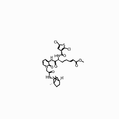 COC(=O)/C=C/CC[C@H](NC(=O)c1cc(Cl)sc1Cl)C(=O)Nc1cccn(CC(=O)N[C@H]2C[C@H]3CC[C@]2(C)C3(C)C)c1=O